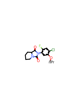 CCCOc1cc(N2C(=O)C3CCCCN3C2=O)c(F)cc1Cl